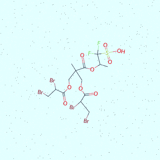 CC(OC(=O)C(C)(COC(=O)C(Br)CBr)COC(=O)C(Br)CBr)C(F)(F)S(=O)(=O)O